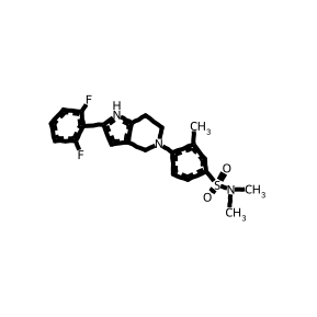 Cc1cc(S(=O)(=O)N(C)C)ccc1N1CCc2[nH]c(-c3c(F)cccc3F)cc2C1